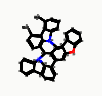 CSc1ccc2c3c1c1c(C)cccc1n3-c1c3c(cc4oc5ccccc5c14)-c1cccc4c5ccccc5n(c14)B32